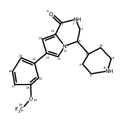 O=C1NCC(C2CCNCC2)n2cc(-c3cccc(OC(F)(F)F)c3)cc21